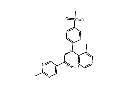 Cc1ncc(/C(C[C@@H](c2ccc(S(C)(=O)=O)cc2)c2ccccc2C)=N/O)cn1